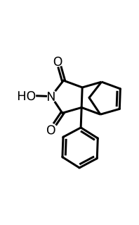 O=C1C2C3C=CC(C3)C2(c2ccccc2)C(=O)N1O